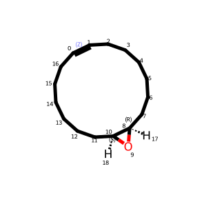 C1=C\CCCCCC[C@H]2O[C@H]2CCCCCC/1